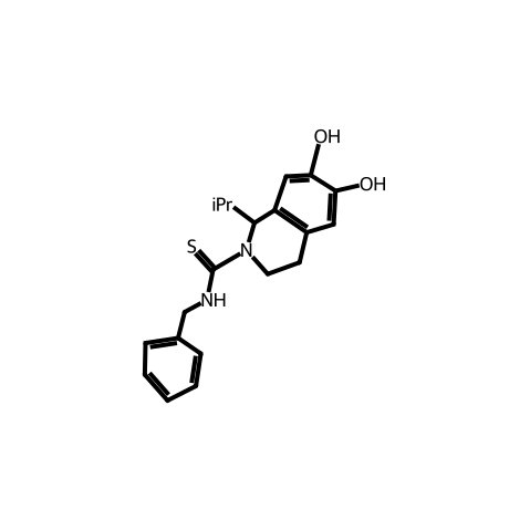 CC(C)C1c2cc(O)c(O)cc2CCN1C(=S)NCc1ccccc1